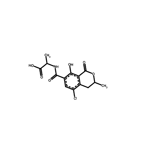 CC1Cc2c(Cl)cc(C(=O)NC(C)C(=O)O)c(O)c2C(=O)O1